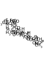 CC[C@@H](Nc1cc(F)c(C(=O)N[C@@H](Cc2ccc(-c3c(C)n(C)c(=O)n(C)c3=O)c3nc(CC[C@@H](Nc4cc(F)c(C(=O)N[C@@H](Cc5ccc(-c6c(C)c7cc(F)ccc7n(C)c6=O)c6ncccc56)C(=O)O)c(F)c4)C(F)(F)F)ccc23)C(=O)O)c(F)c1)C(F)(F)F